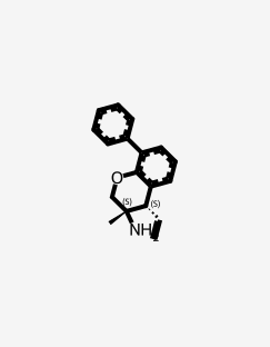 C=C[C@H]1c2cccc(-c3ccccc3)c2OC[C@@]1(C)N